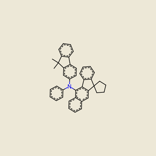 CC1(C)c2ccccc2-c2ccc(N(c3ccccc3)c3c4c(cc5ccccc35)C3(CCCC3)c3ccccc3-4)cc21